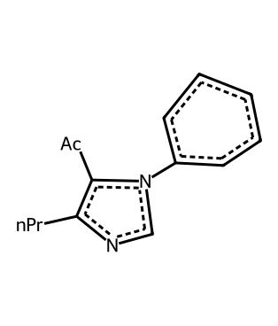 CCCc1ncn(-c2ccccc2)c1C(C)=O